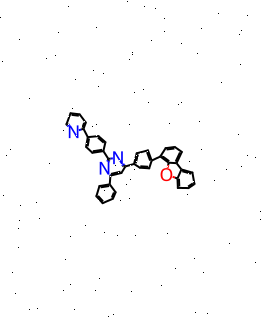 c1ccc(-c2cc(-c3ccc(-c4cccc5c4oc4ccccc45)cc3)nc(-c3ccc(-c4ccccn4)cc3)n2)cc1